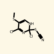 CSC1=CNC(Cl)(SC#N)N=C1Cl